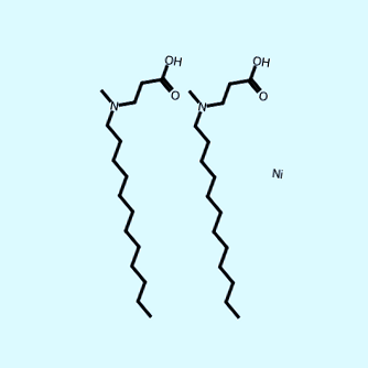 CCCCCCCCCCCCN(C)CCC(=O)O.CCCCCCCCCCCCN(C)CCC(=O)O.[Ni]